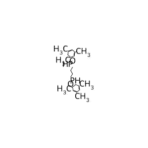 CC1=CC(C)(OPCCCCPOC2(C)C=C(C)C=C(C)C2)CC(C)=C1